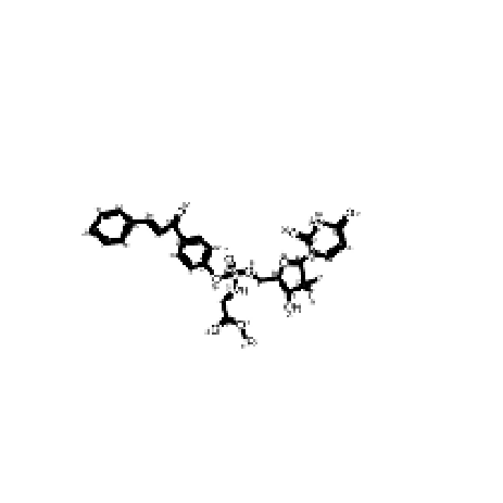 CC(C)OC(=O)CNP(=O)(OCC1OC(n2ccc(=O)[nH]c2=O)C(C)(F)C1O)Oc1ccc(C(=O)C=Cc2ccccc2)cc1